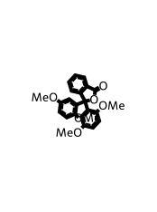 COc1ccc(OC)c(C2(c3cc(OC)ccc3OC)OC(=O)c3ccccc32)c1